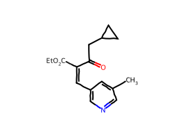 CCOC(=O)C(=Cc1cncc(C)c1)C(=O)CC1CC1